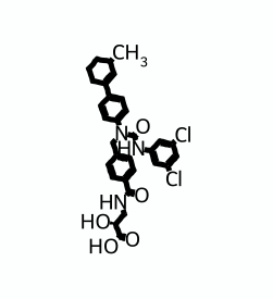 CC1C=C(c2ccc(N(Cc3ccc(C(=O)NC[C@H](O)C(=O)O)cc3)C(=O)Nc3cc(Cl)cc(Cl)c3)cc2)CCC1